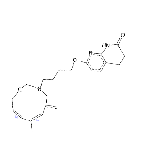 C=C1/C=C(C)\C=C/CCCN(CCCCOc2ccc3c(n2)NC(=O)CC3)C1